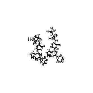 Cc1cc(-c2nc(N3CCOCC3)cn3nccc23)ccc1CN(C(=O)O)C(C)(C)C.Cc1cc(-c2nc(N3CCOCC3)cn3nccc23)ccc1CNC(=O)OC(C)(C)C